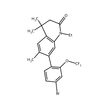 CCN1C(=O)CC(C)(C)c2cc(C)c(-c3ccc(Br)cc3OC(F)(F)F)cc21